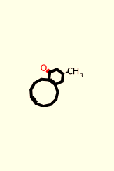 C[C@H]1CC(=O)C2=C(CCCCC=CCCC2)C1